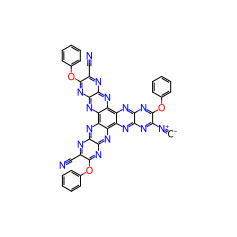 [C-]#[N+]c1nc2nc3c4nc5nc(Oc6ccccc6)c(C#N)nc5nc4c4nc5nc(Oc6ccccc6)c(C#N)nc5nc4c3nc2nc1Oc1ccccc1